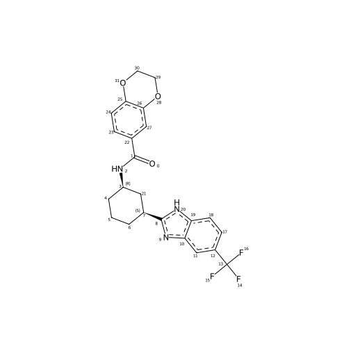 O=C(N[C@@H]1CCC[C@H](c2nc3cc(C(F)(F)F)ccc3[nH]2)C1)c1ccc2c(c1)OCCO2